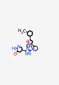 Cc1cccc(-c2cc([C@H]3CCCN3c3nnc(-c4cn[nH]c(=O)c4)n3C)no2)c1